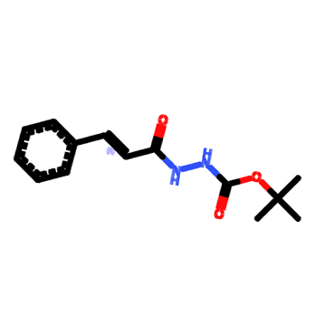 CC(C)(C)OC(=O)NNC(=O)/C=C/c1ccccc1